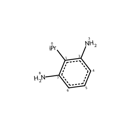 CC(C)c1c(N)cccc1N